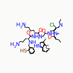 CC/C=C(/OC)N(C)/C(CNC(=O)[C@H](Cc1c[nH]c2ccccc12)N(C)C(=O)[C@H](CCCCN)NC(=O)[C@H](CCCN)NCc1ccccc1S)=C(Cl)\C=N/CC